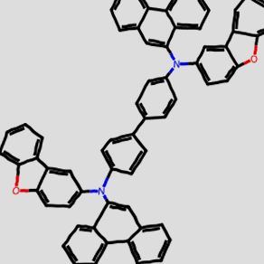 c1ccc2c(c1)cc(N(c1ccc(-c3ccc(N(c4ccc5oc6ccccc6c5c4)c4cc5ccccc5c5ccccc45)cc3)cc1)c1ccc3oc4ccccc4c3c1)c1ccccc12